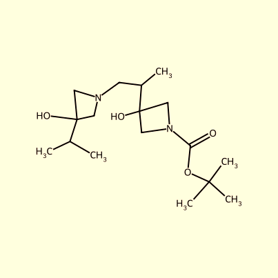 CC(C)C1(O)CN(CC(C)C2(O)CN(C(=O)OC(C)(C)C)C2)C1